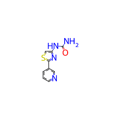 NC(=O)Nc1csc(-c2cccnc2)n1